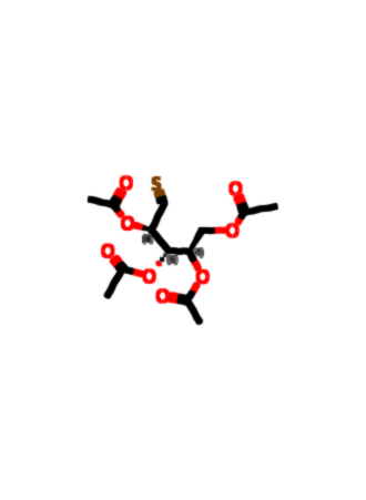 CC(=O)OC[C@@H](OC(C)=O)[C@H](OC(C)=O)[C@H](C=S)OC(C)=O